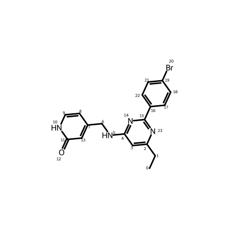 CCc1cc(NCc2cc[nH]c(=O)c2)nc(-c2ccc(Br)cc2)n1